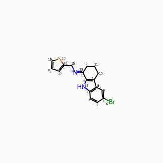 Brc1ccc2[nH]c3c(c2c1)CCC/C3=N\Cc1cccs1